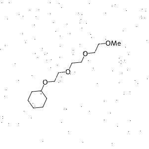 COCCOCCOCCOC1CCCCC1